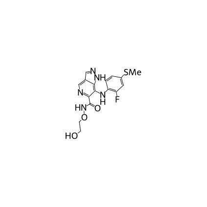 CSc1ccc(Nc2c(C(=O)NOCCO)ncc3cn[nH]c23)c(F)c1